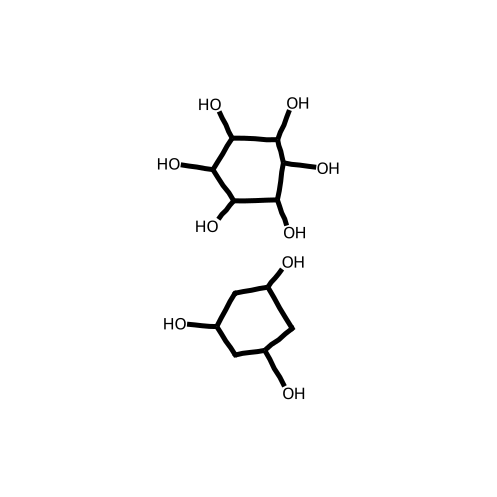 OC1C(O)C(O)C(O)C(O)C1O.OC1CC(O)CC(O)C1